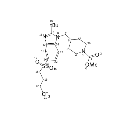 COC(=O)N1CCC(Cn2c(C(C)(C)C)nc3cc(S(=O)(=O)CCCC(F)(F)F)ccc32)CC1